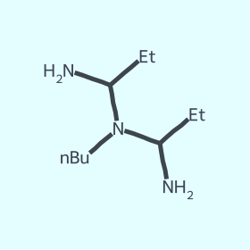 CCCCN(C(N)CC)C(N)CC